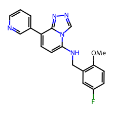 COc1ccc(F)cc1CNc1ccc(-c2cccnc2)c2nncn12